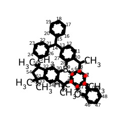 Cc1cc(C)c2c(c1)C(C)c1ccc(C(c3ccccc3)c3ccccc3)cc1B2c1cc2c(cc1C(C)c1cccc3c1oc1ccccc13)C(C)(C)CC2(C)C